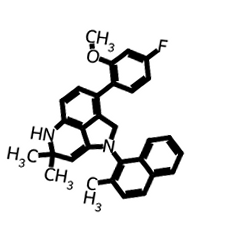 COc1cc(F)ccc1-c1ccc2c3c1CN(c1c(C)ccc4ccccc14)C3=CC(C)(C)N2